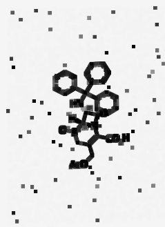 CC(=O)OCC1=C(C(=O)O)N2C(=O)[C@@H](NC(c3ccccc3)(c3ccccc3)c3ccccc3)[C@H]2[S+]([O-])C1